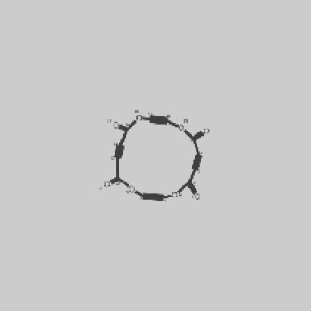 O=C1C#CC(=O)OC#COC(=O)C#CC(=O)OC#CO1